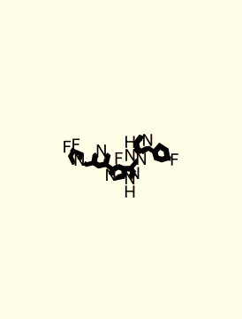 Fc1ccc(-c2nccc3[nH]c(-c4n[nH]c5cnc(-c6cncc(CN7CCC(F)(F)C7)c6)c(F)c45)nc23)cc1